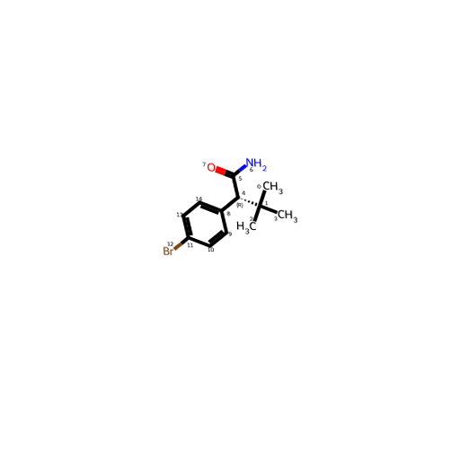 CC(C)(C)[C@@H](C(N)=O)c1ccc(Br)cc1